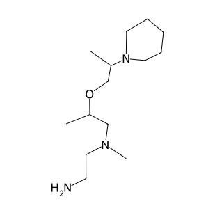 CC(CN(C)CCN)OCC(C)N1CCCCC1